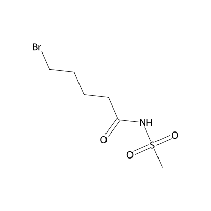 CS(=O)(=O)NC(=O)CCCCBr